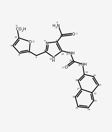 NC(=O)c1nc(Cc2ccc(C(=O)O)o2)[nH]c1NC(=O)Nc1ccc2ccccc2c1